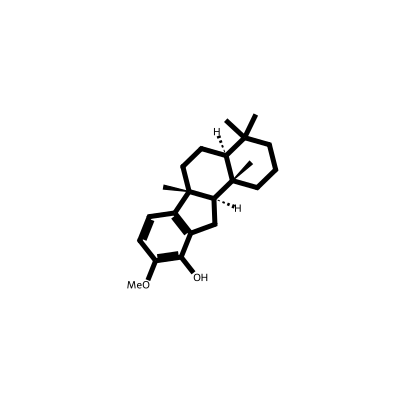 COc1ccc2c(c1O)C[C@@H]1[C@@]3(C)CCCC(C)(C)[C@@H]3CC[C@@]21C